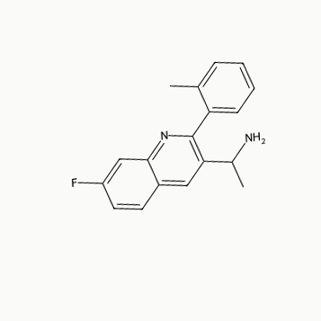 Cc1ccccc1-c1nc2cc(F)ccc2cc1C(C)N